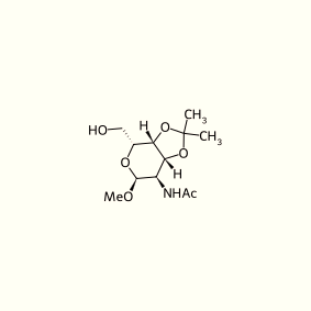 CO[C@H]1O[C@H](CO)[C@@H]2OC(C)(C)O[C@@H]2[C@H]1NC(C)=O